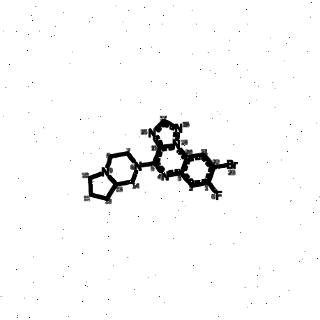 Fc1cc2nc(N3CCN4CCCC4C3)c3ncnn3c2cc1Br